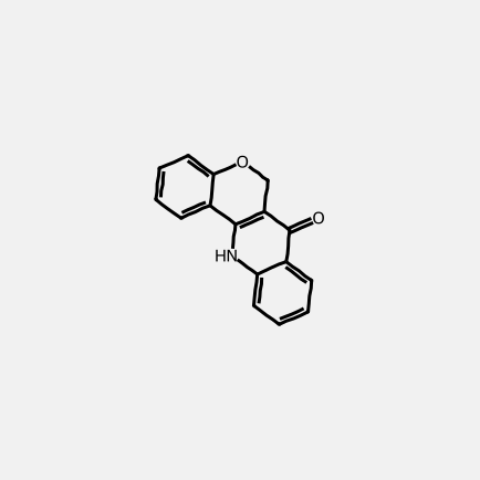 O=c1c2c([nH]c3ccccc13)-c1ccccc1OC2